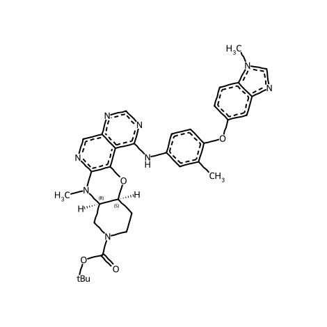 Cc1cc(Nc2ncnc3cnc4c(c23)O[C@H]2CCN(C(=O)OC(C)(C)C)C[C@H]2N4C)ccc1Oc1ccc2c(c1)ncn2C